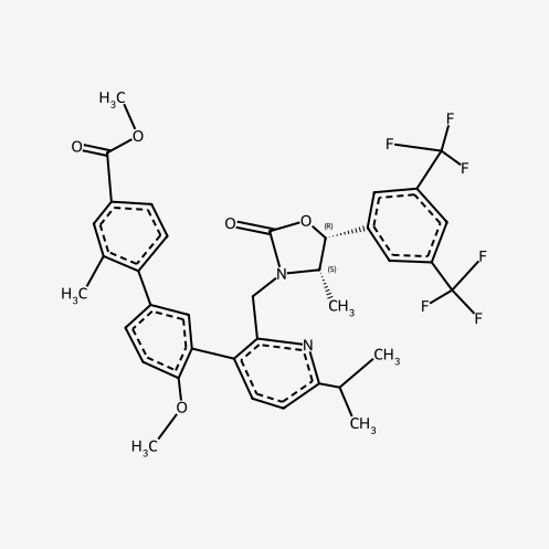 COC(=O)c1ccc(-c2ccc(OC)c(-c3ccc(C(C)C)nc3CN3C(=O)O[C@H](c4cc(C(F)(F)F)cc(C(F)(F)F)c4)[C@@H]3C)c2)c(C)c1